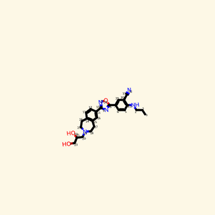 CCCNc1ccc(-c2nc(-c3ccc4c(c3)CCN(CC(O)CO)CC4)no2)cc1C#N